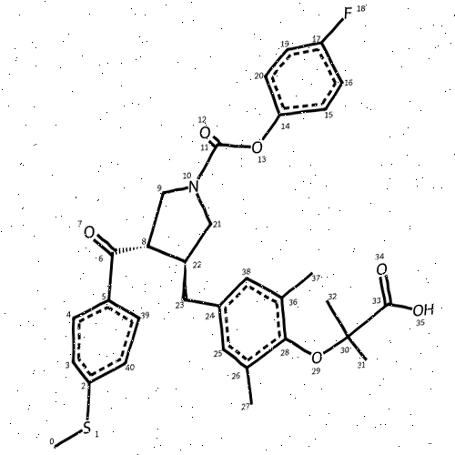 CSc1ccc(C(=O)[C@@H]2CN(C(=O)Oc3ccc(F)cc3)C[C@H]2Cc2cc(C)c(OC(C)(C)C(=O)O)c(C)c2)cc1